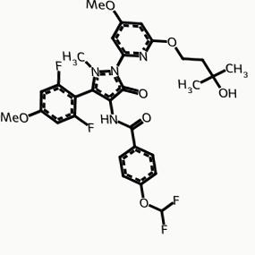 COc1cc(OCCC(C)(C)O)nc(-n2c(=O)c(NC(=O)c3ccc(OC(F)F)cc3)c(-c3c(F)cc(OC)cc3F)n2C)c1